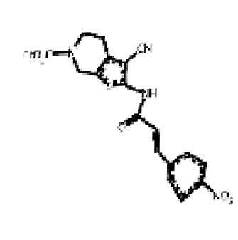 CCOC(=O)N1CCc2c(sc(NC(=O)C=Cc3ccc([N+](=O)[O-])cc3)c2C#N)C1